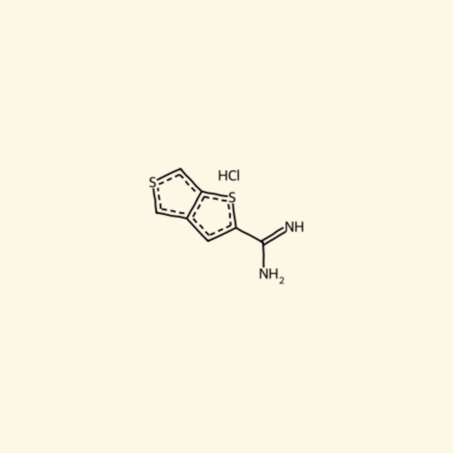 Cl.N=C(N)c1cc2cscc2s1